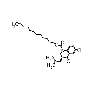 CCCCCCCCCCCCCC(=O)N1CC(=CN(C)C)C(=O)c2cc(Cl)ccc21